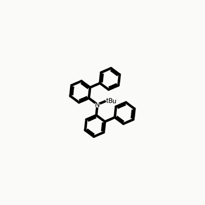 CC(C)(C)N(c1ccccc1-c1ccccc1)c1ccccc1-c1ccccc1